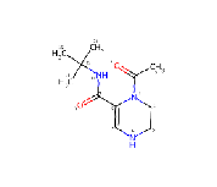 CC(=O)N1CCNC=C1C(=O)NC(C)(C)C